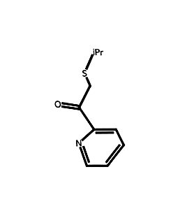 CC(C)SCC(=O)c1ccccn1